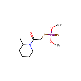 CCCOP(=S)(OCCC)SCC(=O)N1CCCCC1C